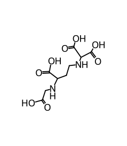 O=C(O)CNC(CCNC(C(=O)O)C(=O)O)C(=O)O